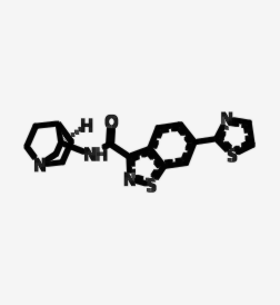 O=C(N[C@H]1CN2CCC1CC2)c1nsc2cc(-c3nccs3)ccc12